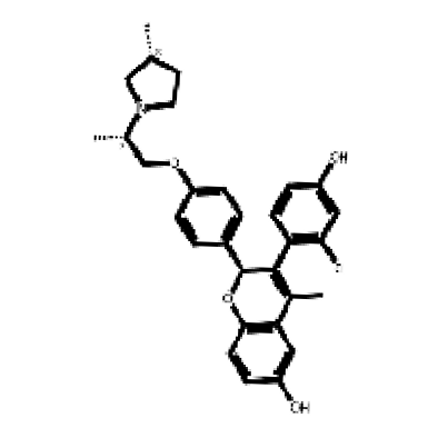 CC1=C(c2ccc(O)cc2Cl)C(c2ccc(OC[C@H](C)N3CC[C@@H](C)C3)cc2)Oc2ccc(O)cc21